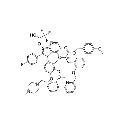 COc1ccc(COC(=O)[C@@H](Cc2ccccc2OCc2ccnc(-c3ccccc3OC)n2)Oc2ncnc3sc(-c4ccc(F)cc4)c(-c4ccc(OCCN5CCN(C)CC5)c(Cl)c4C)c23)cc1.O=C(O)C(F)(F)F